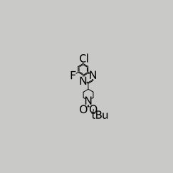 CC(C)(C)OC(=O)N1CCC(c2cnc3cc(Cl)cc(F)c3n2)CC1